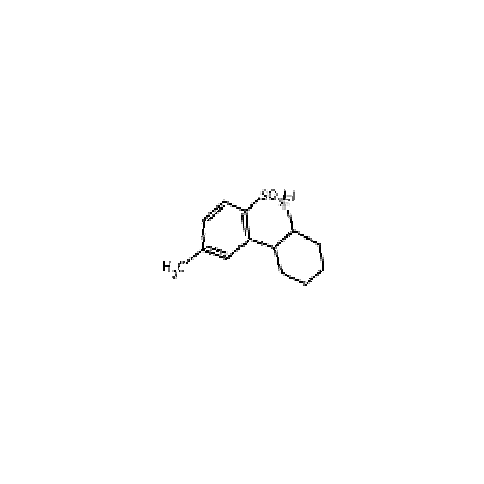 Cc1ccc(S(=O)(=O)O)c(C2CCCCC2F)c1